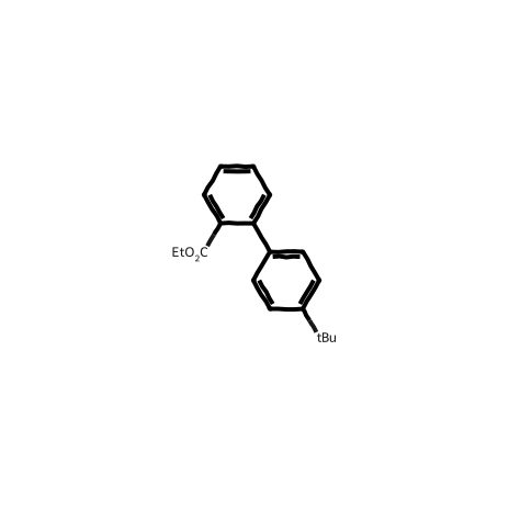 CCOC(=O)c1ccccc1-c1ccc(C(C)(C)C)cc1